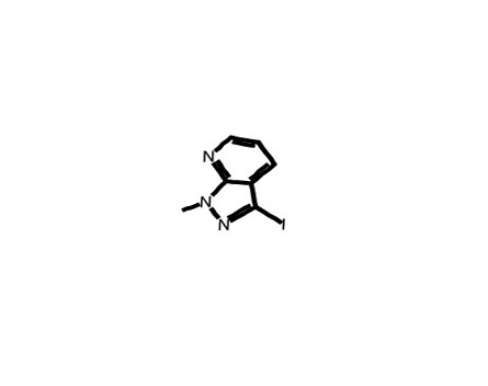 Cn1nc(I)c2cccnc21